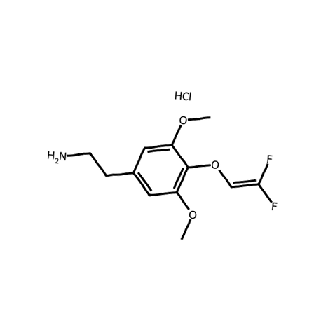 COc1cc(CCN)cc(OC)c1OC=C(F)F.Cl